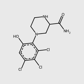 NC(=O)C1CN(c2c(O)cc(Cl)c(Cl)c2Cl)CCN1